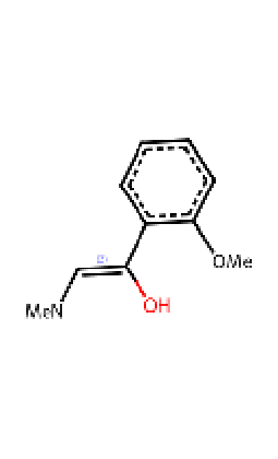 CN/C=C(\O)c1ccccc1OC